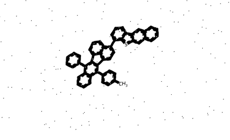 Cc1ccc(-c2c3c(c(-c4ccccc4)c4ccccc24)-c2cccc4c(-c5cccc6c5sc5cc7ccccc7cc56)ccc-3c24)cc1